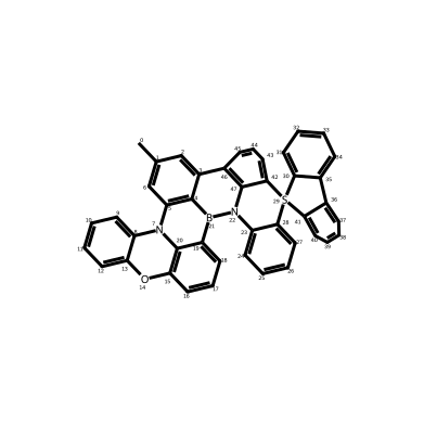 Cc1cc2c3c(c1)N1c4ccccc4Oc4cccc(c41)B3N1c3ccccc3S3(c4ccccc4-c4ccccc43)c3cccc-2c31